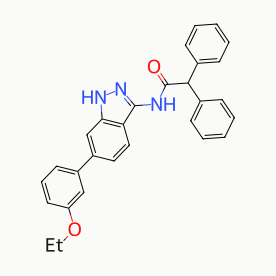 CCOc1cccc(-c2ccc3c(NC(=O)C(c4ccccc4)c4ccccc4)n[nH]c3c2)c1